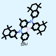 Cc1cc2c3c(c1)N(c1cc4c(cc1C)C(C)(C)CCC4(C)C)c1cc(C(C)(C)C)ccc1B3c1cc3c(cc1N2c1ccc2c(c1)C(C)(C)CCC2(C)C)C(C)(C)CCC3(C)C